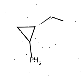 CC[C@H]1CC1P